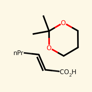 CC1(C)OCCCO1.CCCC=CC(=O)O